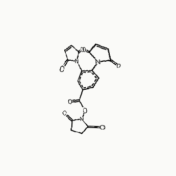 O=C(ON1C(=O)CCC1=O)c1ccc(N2C(=O)C=CC2=O)c(N2C(=O)C=CC2=O)c1